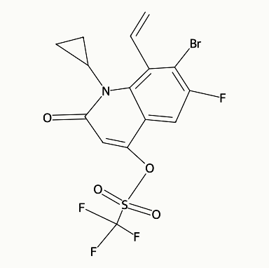 C=Cc1c(Br)c(F)cc2c(OS(=O)(=O)C(F)(F)F)cc(=O)n(C3CC3)c12